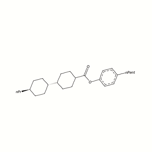 CCCCCc1ccc(OC(=O)C2CCC([C@H]3CC[C@H](CCC)CC3)CC2)cc1